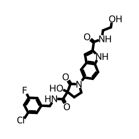 O=C(NCCO)c1cc2cc(N3CCC(O)(C(=O)NCc4cc(F)cc(Cl)c4)C3=O)ccc2[nH]1